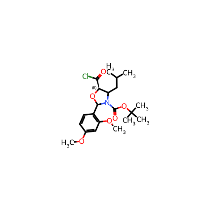 COc1ccc(C2O[C@@H](C(=O)Cl)C(CC(C)C)N2C(=O)OC(C)(C)C)c(OC)c1